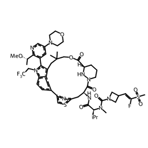 CO[C@@H](C)c1ncc(N2CCOCC2)cc1-c1c2c3cc(ccc3n1CC(F)(F)F)-c1csc(n1)C[C@H](NC(=O)[C@H](C(C)C)N(C)C(=O)N1CC(/C=C(\F)S(C)(=O)=O)C1)C(=O)N1CCC[C@H](N1)C(=O)OCC(C)(C)C2